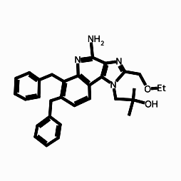 CCOCc1nc2c(N)nc3c(Cc4ccccc4)c(Cc4ccccc4)ccc3c2n1CC(C)(C)O